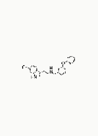 Clc1ccc2c(CCNCc3cccc(Oc4ccccc4)c3)c[nH]c2c1